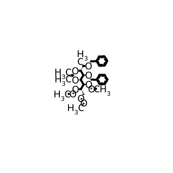 COOC[C@H](OOC)[C@H](OOC)[C@@H]1OC(C)(C)O[C@H](C(C)OCc2ccccc2)[C@H]1OCc1ccccc1